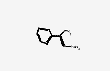 N/C=C(\N)c1ccccc1